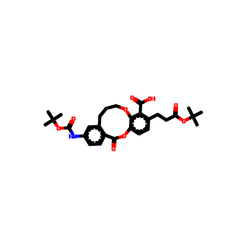 CC(C)(C)OC(=O)CCc1ccc2c(c1C(=O)O)OCCCc1cc(NC(=O)OC(C)(C)C)ccc1C(=O)O2